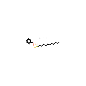 CCCCCCCCCCCCS(=O)(=O)OCc1ccccc1.[NaH]